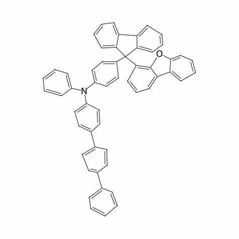 c1ccc(-c2ccc(-c3ccc(N(c4ccccc4)c4ccc(C5(c6cccc7c6oc6ccccc67)c6ccccc6-c6ccccc65)cc4)cc3)cc2)cc1